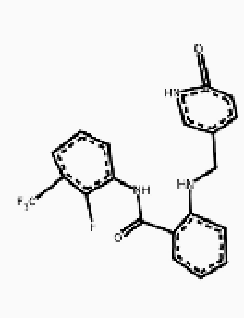 O=C(Nc1cccc(C(F)(F)F)c1F)c1ccccc1NCc1ccc(=O)[nH]c1